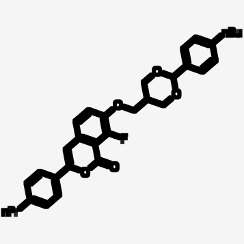 CCCCc1ccc(C2OCC(COc3ccc4cc(-c5ccc(CCC)cc5)oc(=O)c4c3F)CO2)cc1